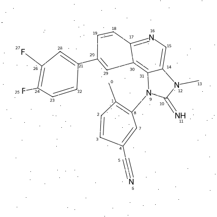 Cc1ccc(C#N)cc1-n1c(=N)n(C)c2cnc3ccc(-c4ccc(F)c(F)c4)cc3c21